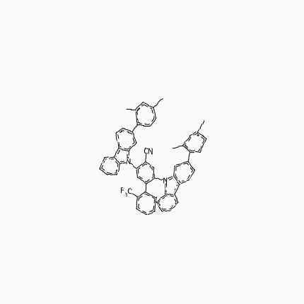 Cc1ccc(-c2ccc3c4ccccc4n(-c4cc(-c5ccccc5C(F)(F)F)c(-n5c6ccccc6c6ccc(-c7ccc(C)cc7C)cc65)cc4C#N)c3c2)c(C)c1